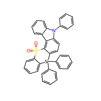 O=S1(=O)c2ccccc2[Si](c2ccccc2)(c2ccccc2)c2ccc3c(c21)c1ccccc1n3-c1ccccc1